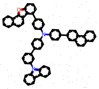 c1cc(-c2ccc(N(c3ccc(-c4ccc5c(ccc6ccccc65)c4)cc3)c3ccc(-c4cccc5oc6c7ccccc7ccc6c45)cc3)cc2)cc(-n2c3ccccc3c3ccccc32)c1